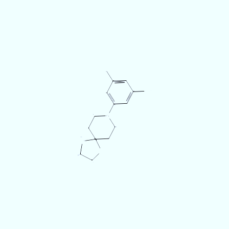 Clc1cc(Cl)cc(N2CCC3(CC2)OCCO3)c1